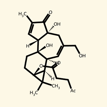 CC(=O)CCC(=O)O[C@@]12CC[C@@]3(O)[C@@H](C=C(CO)C[C@]4(O)C(=O)C(C)=C[C@@H]34)[C@H]1C2(C)C